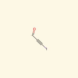 O=[C]C#CI